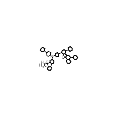 CC1(C)c2ccccc2-c2ccc(N(C3=CC=C(c4ccccc4)CC3)c3ccc(-c4ccc(-c5ccccc5)c5c4oc4c6ccccc6c(-c6ccccc6)cc45)cc3)cc21